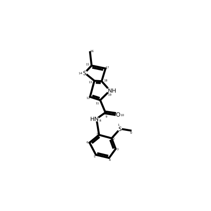 CSc1ccccc1NC(=O)c1cc2sc(C)cc2[nH]1